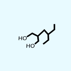 CCC(CC)CC(CO)CO